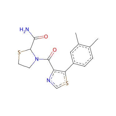 Cc1ccc(-c2scnc2C(=O)N2CCSC2C(N)=O)cc1C